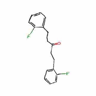 O=C(CCc1ccccc1F)CCc1ccccc1F